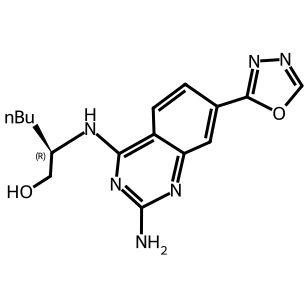 CCCC[C@H](CO)Nc1nc(N)nc2cc(-c3nnco3)ccc12